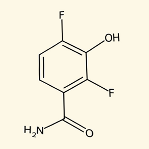 NC(=O)c1ccc(F)c(O)c1F